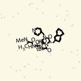 CN[C@@H](C)C(=O)N[C@@](C=O)(N1CC(=O)N2[C@@H](Cc3ccc4ccccc4c3)C(=O)N(Cc3ccncc3)C[C@@H]21)C(C)(C)C